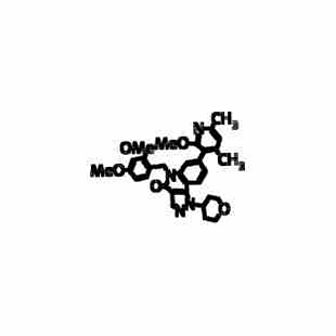 COc1ccc(Cn2c(=O)c3cnn(C4CCOCC4)c3c3ccc(-c4c(C)cc(C)nc4OC)cc32)c(OC)c1